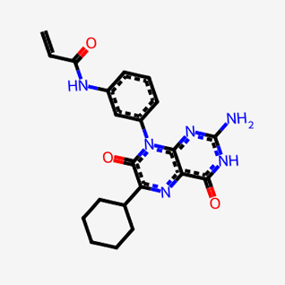 C=CC(=O)Nc1cccc(-n2c(=O)c(C3CCCCC3)nc3c(=O)[nH]c(N)nc32)c1